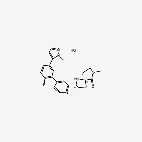 CN1CC[C@@]2(CC[C@H](c3cc(-c4cc(-c5ccnn5C)ccc4F)ccn3)N2)C1=O.Cl